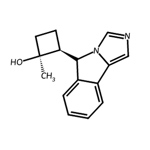 C[C@]1(O)CC[C@H]1C1c2ccccc2-c2cncn21